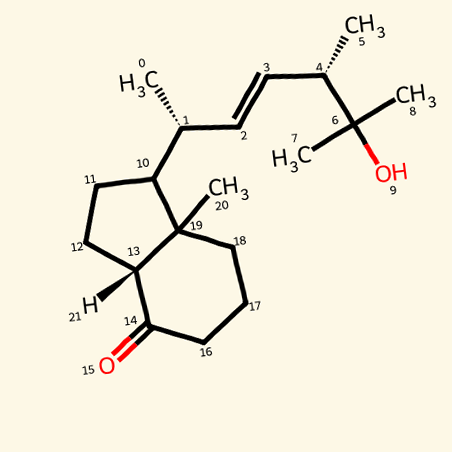 C[C@H](/C=C/[C@H](C)C(C)(C)O)C1CC[C@H]2C(=O)CCCC12C